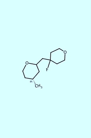 C[C@@H]1CCOC(CC2(F)CCOCC2)C1